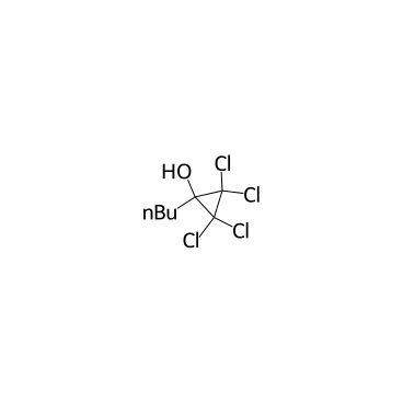 CCCCC1(O)C(Cl)(Cl)C1(Cl)Cl